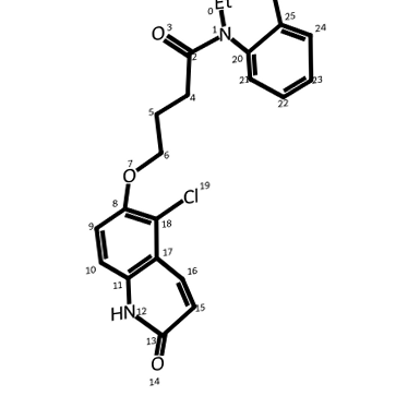 CCN(C(=O)CCCOc1ccc2[nH]c(=O)ccc2c1Cl)c1ccccc1C